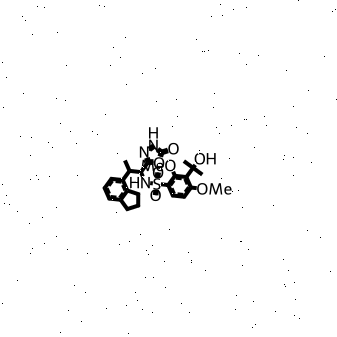 COc1ccc(S(=O)(=O)NC(c2n[nH]c(=O)o2)C(C)c2cccc3c2CCC3)c(OC)c1C(C)(C)O